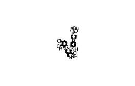 COc1cc(N2CCN(C(=O)OC(C)(C)C)CC2)ccc1Nc1nc(Nc2cccc(Cl)c2Cl)cc2cn[nH]c(=O)c12